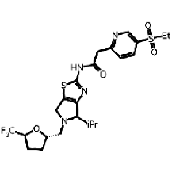 CCS(=O)(=O)c1ccc(CC(=O)Nc2nc3c(s2)CN(C[C@@H]2CCC(C(F)(F)F)O2)C3C(C)C)nc1